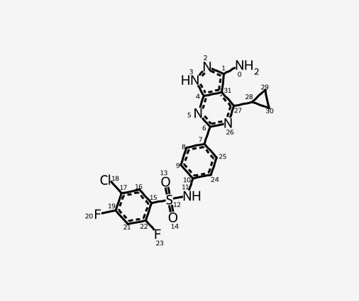 Nc1n[nH]c2nc(-c3ccc(NS(=O)(=O)c4cc(Cl)c(F)cc4F)cc3)nc(C3CC3)c12